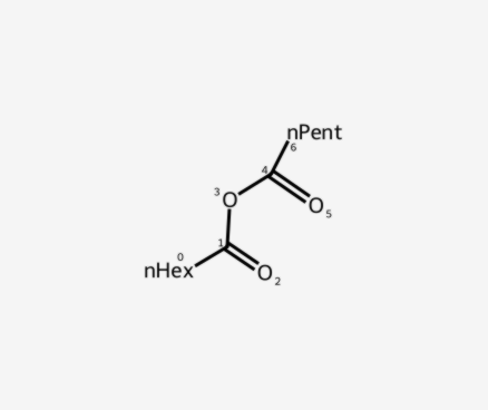 CCCCCCC(=O)OC(=O)CCCCC